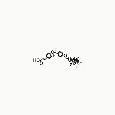 C[Si](C)(C)O[Si](C)(C)CCCOc1ccc(C(F)(F)Oc2ccc(C=CC(=O)O)cc2)cc1